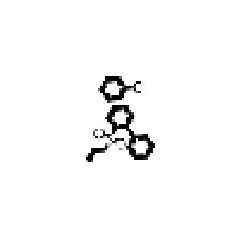 C=CCS(=O)(=O)c1ccccc1-c1ccccc1.Clc1ccccc1